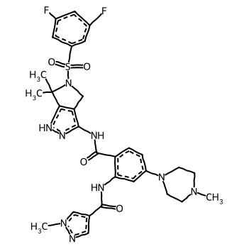 CN1CCN(c2ccc(C(=O)Nc3n[nH]c4c3CN(S(=O)(=O)c3cc(F)cc(F)c3)C4(C)C)c(NC(=O)c3cnn(C)c3)c2)CC1